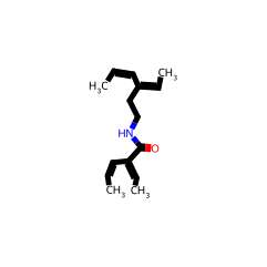 C/C=C\C(=C/C)CCNC(=O)C(/C=C\C)=C/C